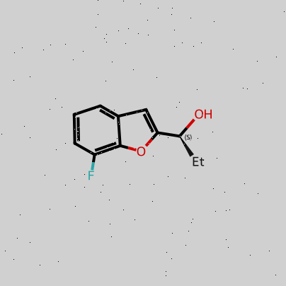 CC[C@H](O)c1cc2cccc(F)c2o1